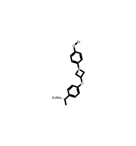 CCOc1ccc(N2CC(Oc3ccc([C@H](C)NC(C)=O)cc3)C2)cc1